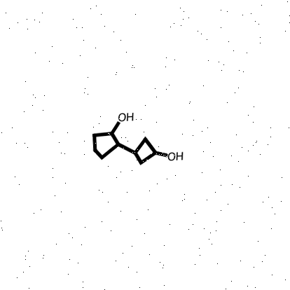 O[C]1CCCC1C1CC(O)C1